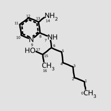 CCCCCCC(Nc1ncccc1N)C(C)O